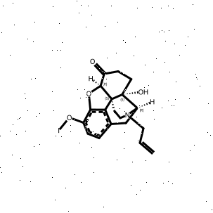 C=CCN1CC[C@]23c4c5ccc(OI)c4O[C@H]2C(=O)CC[C@@]3(O)[C@H]1C5